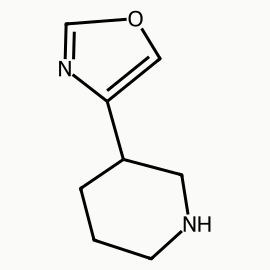 c1nc(C2CCCNC2)co1